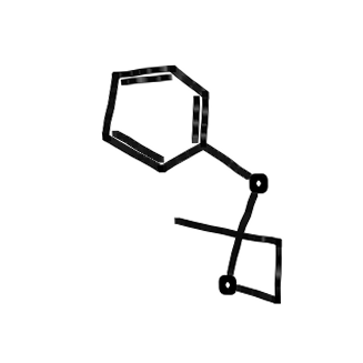 CC1(Oc2ccccc2)CCO1